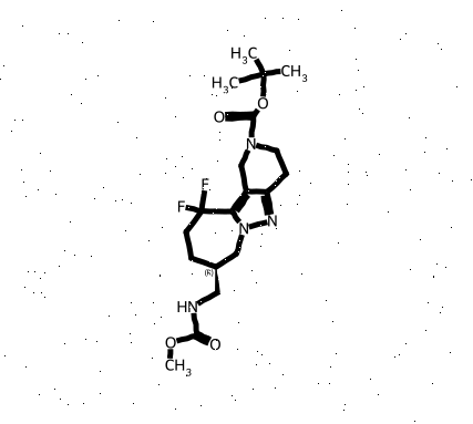 COC(=O)NC[C@H]1CCC(F)(F)c2c3c(nn2C1)CCN(C(=O)OC(C)(C)C)C3